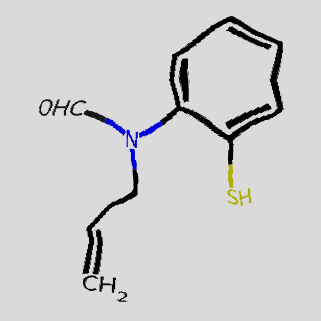 C=CCN(C=O)c1ccccc1S